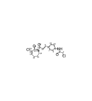 O=C(CCl)Nc1ccc(C=CC(=O)N2CCCC=C(Cl)C2=O)cc1